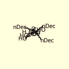 CCCCCCCCCCCCCCCC(=O)C(O)[C@]([C]=O)(C(=O)CCCCCCCCCCCCCCC)N(C(=O)CCCCCCCCCCCCCCC)C(=O)[C@@H](N)CSCC(O)CO